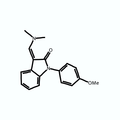 COc1ccc(N2C(=O)/C(=C\N(C)C)c3ccccc32)cc1